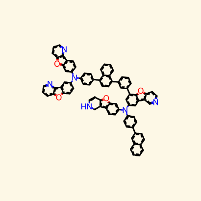 C1=Cc2oc3cc(N(c4ccc(-c5ccc6ccccc6c5)cc4)c4cc(-c5cccc(-c6ccc(-c7ccc(N(c8ccc9c(c8)oc8cccnc89)c8ccc9oc%10cccnc%10c9c8)cc7)c7ccccc67)c5)c5oc6ccncc6c5c4)ccc3c2CN1